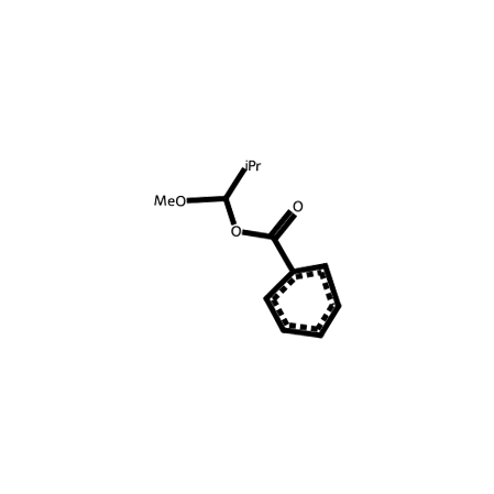 COC(OC(=O)c1ccccc1)C(C)C